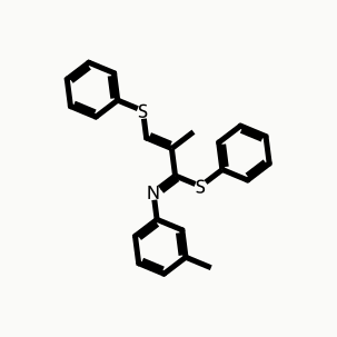 C/C(=C\Sc1ccccc1)C(=Nc1cccc(C)c1)Sc1ccccc1